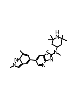 Cc1cc(-c2cnc3nc(N(C)C4CC(C)(C)NC(C)(C)C4)sc3c2)cc2cn(C)nc12